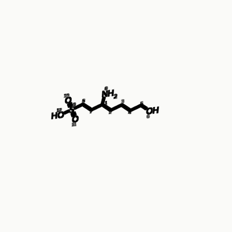 NC(CCCCO)CCS(=O)(=O)O